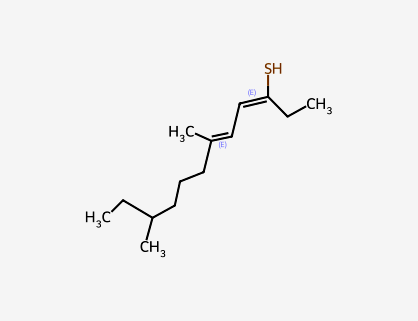 CC/C(S)=C\C=C(/C)CCCC(C)CC